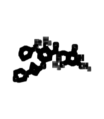 CCN(c1cc(OC2CC(N3CCOCC3)C2)cc(C(=O)NCc2c(C)cc(C)[nH]c2=O)c1C)C1CCCCC1